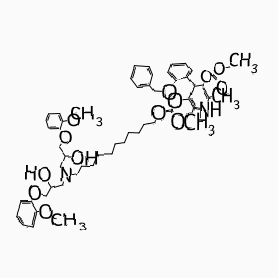 CCOC(=O)OC1=C(C)NC(C)=C(OC(=O)OCCCCCCCCCCCN(CC(O)COc2ccccc2OC)CC(O)COc2ccccc2OC)C1c1ccccc1OCc1ccccc1